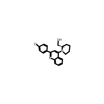 OC[C@H]1CCCCN1c1cc(-c2ccc(Cl)cc2)nc2ccccc12